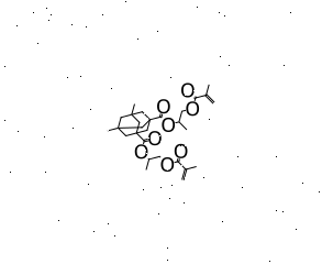 C=C(C)C(=O)OCC(C)OC(=O)C12CC3(C)CC(C)(C1)CC(C(=O)OC(C)COC(=O)C(=C)C)(C3)C2